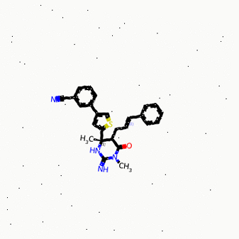 CN1C(=N)N[C@](C)(c2cc(-c3cccc(C#N)c3)cs2)C(C/C=C/c2ccccc2)C1=O